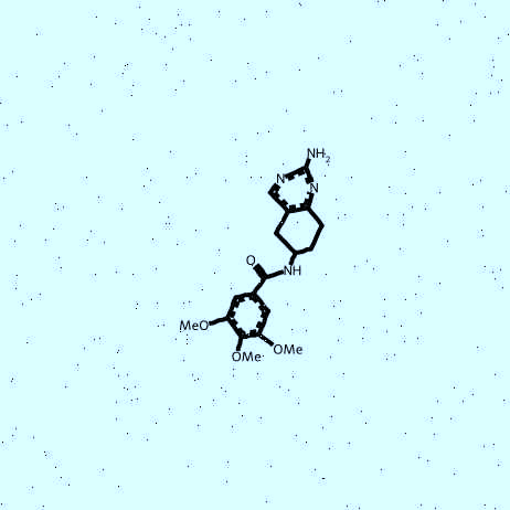 COc1cc(C(=O)NC2CCc3nc(N)ncc3C2)cc(OC)c1OC